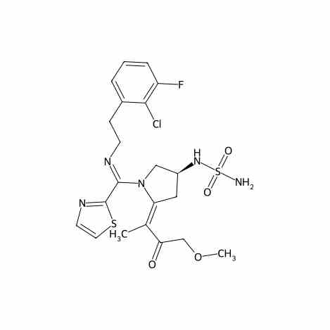 COCC(=O)/C(C)=C1\C[C@H](NS(N)(=O)=O)CN1/C(=N\CCc1cccc(F)c1Cl)c1nccs1